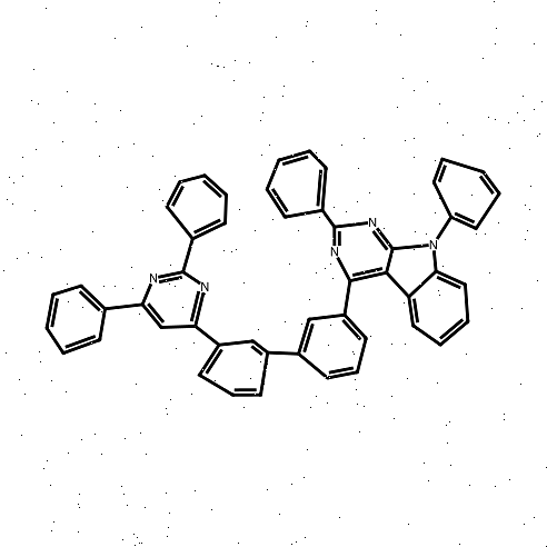 c1ccc(-c2cc(-c3cccc(-c4cccc(-c5nc(-c6ccccc6)nc6c5c5ccccc5n6-c5ccccc5)c4)c3)nc(-c3ccccc3)n2)cc1